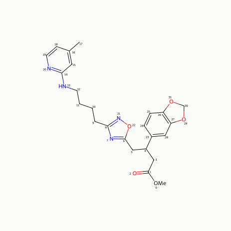 COC(=O)CC(Cc1nc(CCCCNc2cc(C)ccn2)no1)c1ccc2c(c1)OCO2